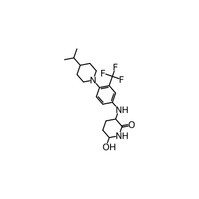 CC(C)C1CCN(c2ccc(NC3CCC(O)NC3=O)cc2C(F)(F)F)CC1